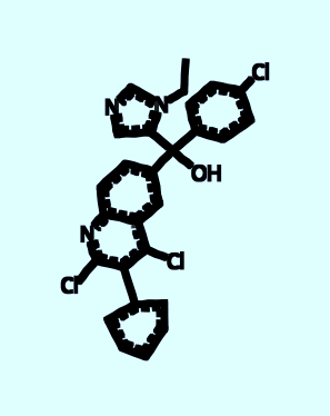 CCn1cncc1C(O)(c1ccc(Cl)cc1)c1ccc2nc(Cl)c(-c3ccccc3)c(Cl)c2c1